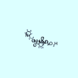 O=C(NOCCc1ccccn1)[C@@H]1CCC2CN1C(=O)N2OS(=O)(=O)O